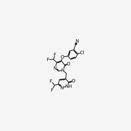 N#Cc1cc(Oc2c(C(F)F)ncn(Cc3cc(C(F)F)n[nH]c3=O)c2=O)ccc1Cl